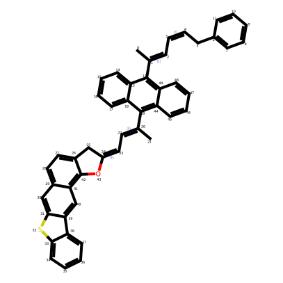 C/C(=C\C=C/Cc1ccccc1)c1c2ccccc2c(/C(C)=C/C=C2\Cc3ccc4cc5sc6ccccc6c5cc4c3O2)c2ccccc12